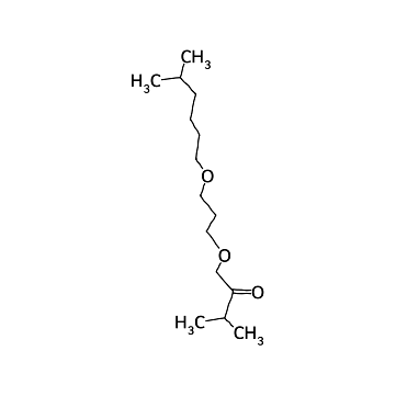 CC(C)CCCCOCCCOCC(=O)C(C)C